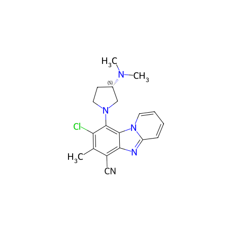 Cc1c(Cl)c(N2CC[C@H](N(C)C)C2)c2c(nc3ccccn32)c1C#N